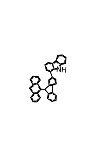 c1ccc2c(c1)-c1ccc(-c3cccc4c3[nH]c3ccccc34)cc1C2c1c2ccccc2cc2ccccc12